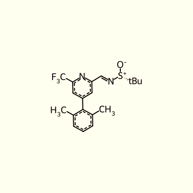 Cc1cccc(C)c1-c1cc(C=N[S@+]([O-])C(C)(C)C)nc(C(F)(F)F)c1